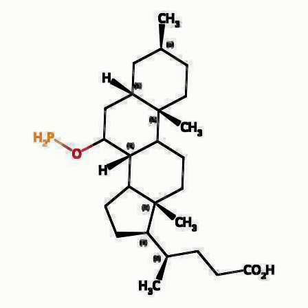 C[C@H]1CC[C@]2(C)C3CC[C@@]4(C)C(CC[C@@H]4[C@H](C)CCC(=O)O)[C@@H]3C(OP)C[C@@H]2C1